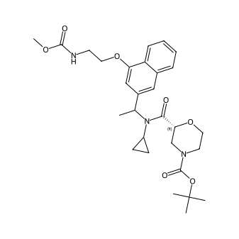 COC(=O)NCCOc1cc(C(C)N(C(=O)[C@H]2CN(C(=O)OC(C)(C)C)CCO2)C2CC2)cc2ccccc12